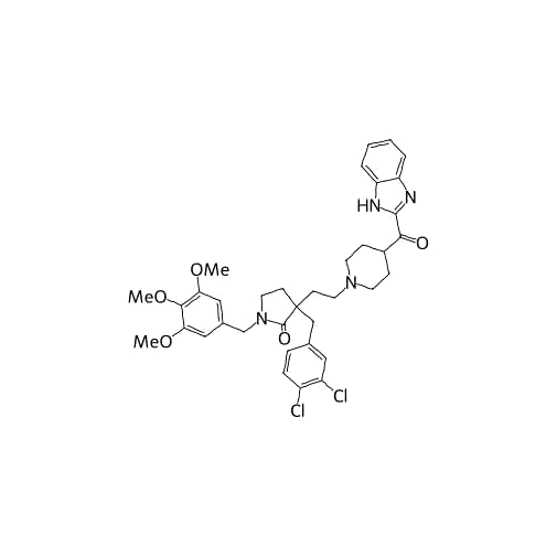 COc1cc(CN2CCC(CCN3CCC(C(=O)c4nc5ccccc5[nH]4)CC3)(Cc3ccc(Cl)c(Cl)c3)C2=O)cc(OC)c1OC